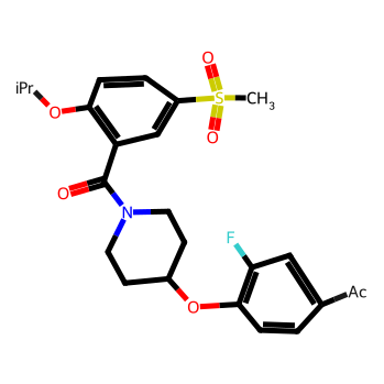 CC(=O)c1ccc(OC2CCN(C(=O)c3cc(S(C)(=O)=O)ccc3OC(C)C)CC2)c(F)c1